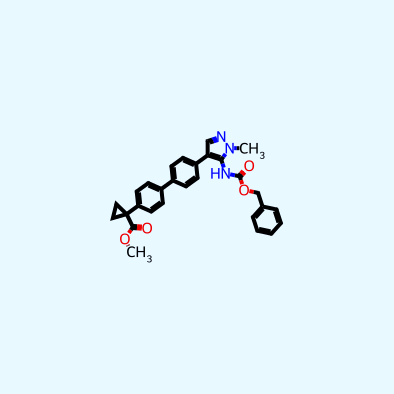 COC(=O)C1(c2ccc(-c3ccc(-c4cnn(C)c4NC(=O)OCc4ccccc4)cc3)cc2)CC1